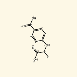 CC(Nc1ccc(C(=O)O)cc1)C(=O)O